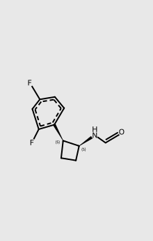 O=CN[C@H]1CC[C@H]1c1ccc(F)cc1F